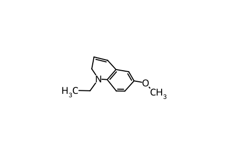 CCN1CC=Cc2cc(OC)ccc21